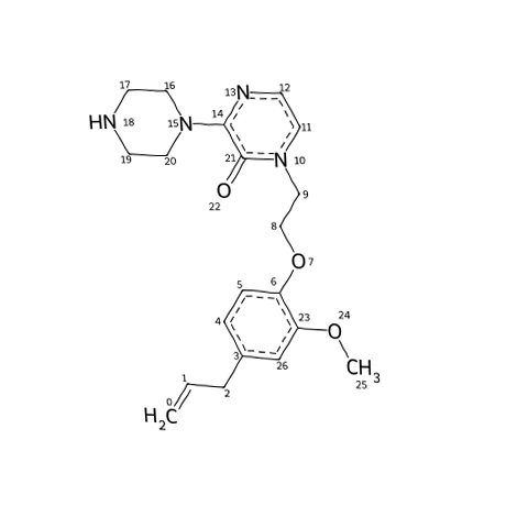 C=CCc1ccc(OCCn2ccnc(N3CCNCC3)c2=O)c(OC)c1